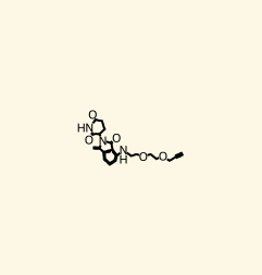 C#CCOCCOCCNc1cccc2c1C(=O)N(C1CCC(=O)NC1=O)C2=C